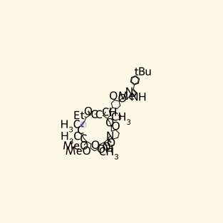 CCC1/C=C(\C)CC(C)CC(OC)C2OC(O)(C(=O)C(=O)N3CCCCC3C(=O)OC(C(C)=CC3CCC(OCc4nc(-c5ccc(C(C)(C)C)cc5)c[nH]4)C(OC)C3)C(C)CCC1=O)C(C)CC2OC